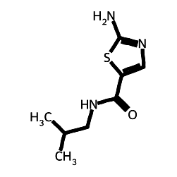 CC(C)CNC(=O)c1cnc(N)s1